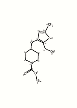 CC(C)(C)OC(=O)N1CCC(Oc2cc(C(F)(F)F)sc2CO)CC1